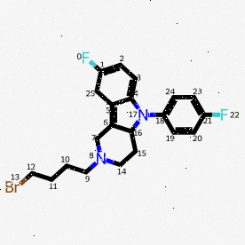 FC1=CC=C2C(=C3CN(CCCCBr)CCC3N2c2ccc(F)cc2)C1